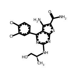 C[C@@H](CO)Nc1nc(-c2ccc(Cl)c(Cl)c2)c2c(N)c(C(N)=O)sc2n1